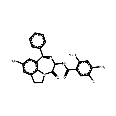 COc1cc(N)c(Cl)cc1C(=O)NC1N=C(c2ccccc2)c2cc(N)cc3c2N(CC3)C1=O